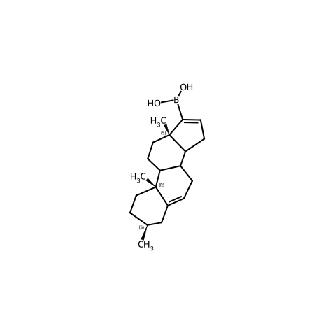 C[C@H]1CC[C@@]2(C)C(=CCC3C2CC[C@]2(C)C(B(O)O)=CCC32)C1